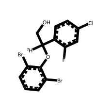 [2H]C(CO)(Oc1c(Br)cccc1Br)c1ccc(Cl)cc1F